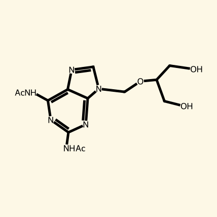 CC(=O)Nc1nc(NC(C)=O)c2ncn(COC(CO)CO)c2n1